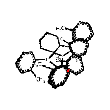 Cc1ccccc1P(c1ccccc1C)C1CCCCC1(P(c1ccccc1C)c1ccccc1C)P(c1ccccc1C)c1ccccc1C